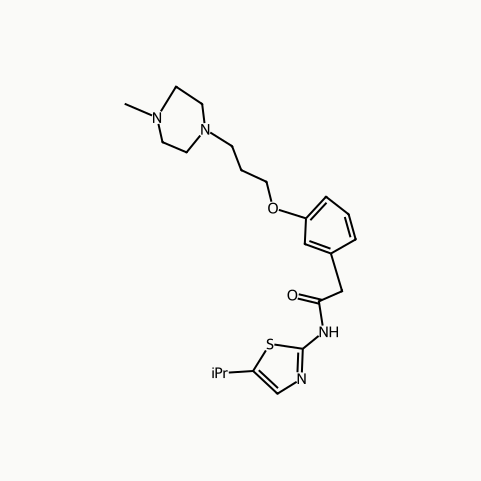 CC(C)c1cnc(NC(=O)Cc2cccc(OCCCN3CCN(C)CC3)c2)s1